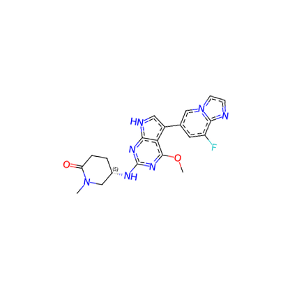 COc1nc(N[C@H]2CCC(=O)N(C)C2)nc2[nH]cc(-c3cc(F)c4nccn4c3)c12